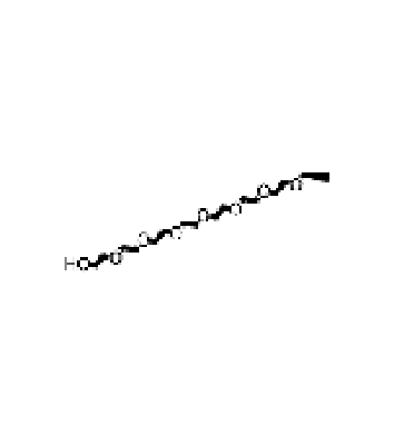 C#CCOCCOCCOCCOCCOCCOCCOCCO